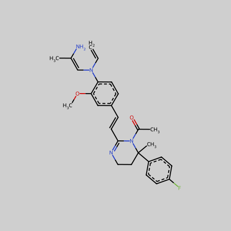 C=CN(/C=C(/C)N)c1ccc(/C=C/C2=NCCC(C)(c3ccc(F)cc3)N2C(C)=O)cc1OC